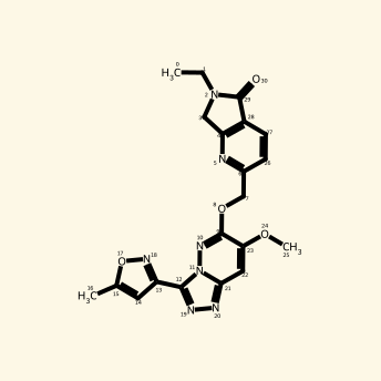 CCN1Cc2nc(COc3nn4c(-c5cc(C)on5)nnc4cc3OC)ccc2C1=O